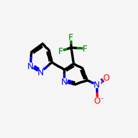 O=[N+]([O-])c1cnc(-c2cccnn2)c(C(F)(F)F)c1